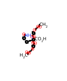 C=CC(=O)OCCCOc1ccc(C(=O)Oc2cc(C(=O)O)c(OC(=O)c3ccc(OCCCOC(=O)C=C)cc3)cc2C#Cc2ccccc2)cc1.NC(=O)c1ccccc1